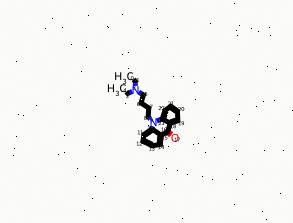 CCN(CC)CCCCn1c2ccccc2c(=O)c2ccccc21